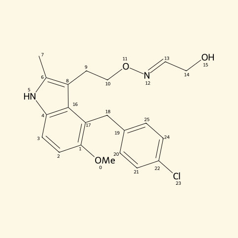 COc1ccc2[nH]c(C)c(CCON=CCO)c2c1Cc1ccc(Cl)cc1